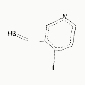 B=Cc1cnccc1I